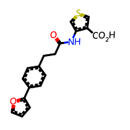 O=C(CCc1ccc(-c2ccco2)cc1)Nc1cscc1C(=O)O